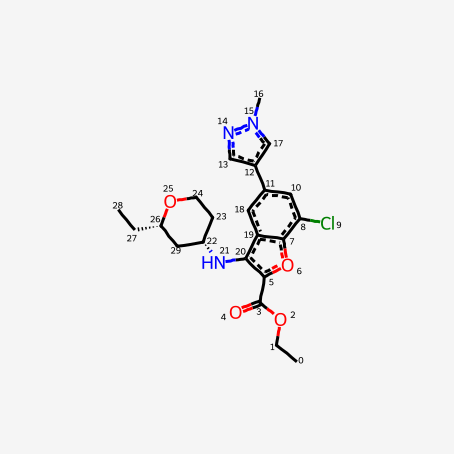 CCOC(=O)c1oc2c(Cl)cc(-c3cnn(C)c3)cc2c1N[C@H]1CCO[C@@H](CC)C1